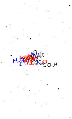 CCc1cc2c(=O)c(C(=O)O)cn(C3CC3)c2c(OC)c1N1CC2CCCN(C(=O)OC(CCCN)(P(=O)(O)O)P(=O)(O)O)[C@H]2C1